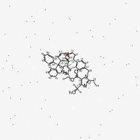 CCOC(=O)c1c(C(C)(C)O)nc(CC)n1Cc1ccc(-c2ccccc2-c2nnnn2C(c2ccccc2)(c2ccccc2)c2ccccc2)cc1